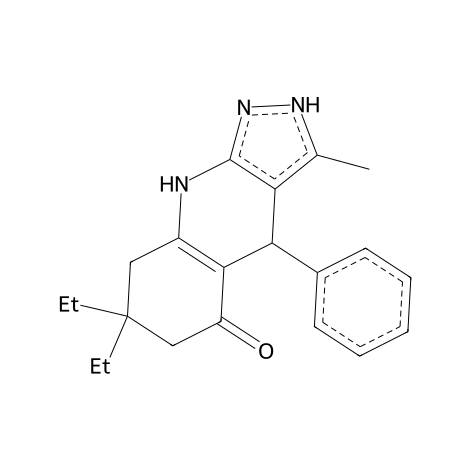 CCC1(CC)CC(=O)C2=C(C1)Nc1n[nH]c(C)c1C2c1ccccc1